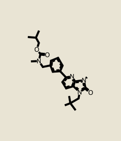 CC(C)COC(=O)N(C)Cc1cccc(-c2ccc3c(n2)n(C)c(=O)n3CC(C)(C)C)c1